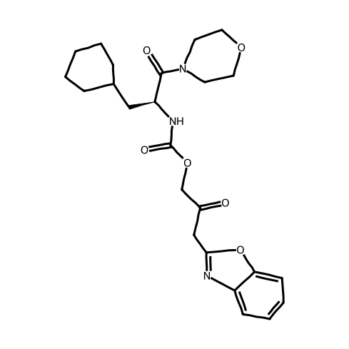 O=C(COC(=O)N[C@@H](CC1CCCCC1)C(=O)N1CCOCC1)Cc1nc2ccccc2o1